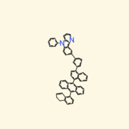 C1=Cc2c(cccc2-c2c3ccccc3c(-c3ccc(-c4cccc(-c5ccc6c(c5)c5ncccc5n6-c5ccccc5)c4)c4ccccc34)c3ccccc23)CC1